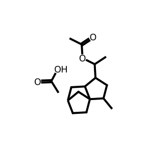 CC(=O)O.CC(=O)OC(C)C1CC(C)C23CCC(CC12)C3